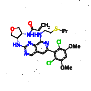 C=CC(=O)N[C@H]1COC[C@H]1Nc1ncc2cc(-c3c(Cl)c(OC)cc(OC)c3Cl)nc(NCCSC(C)C)c2n1